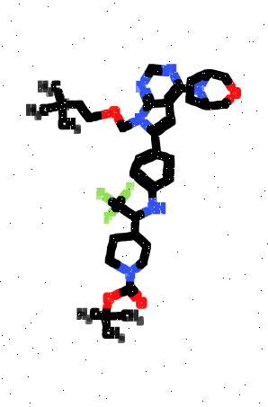 CC(C)(C)OC(=O)N1CCC(C(Nc2ccc(-c3cc4c(N5C6CCC5COC6)ncnc4n3COCC[Si](C)(C)C)cc2)C(F)(F)F)CC1